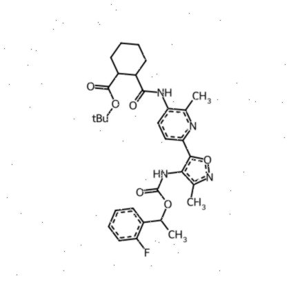 Cc1nc(-c2onc(C)c2NC(=O)OC(C)c2ccccc2F)ccc1NC(=O)C1CCCCC1C(=O)OC(C)(C)C